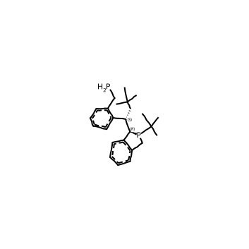 CC(C)(C)C[C@@H](c1ccccc1CP)[C@@H]1c2ccccc2CP1C(C)(C)C